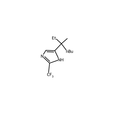 CCCCC(C)(CC)c1cnc(C(F)(F)F)[nH]1